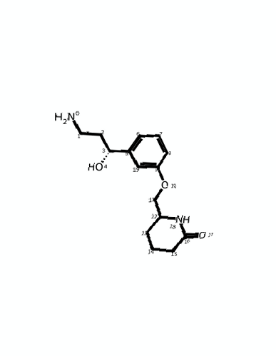 NCC[C@@H](O)c1cccc(OCC2CCCC(=O)N2)c1